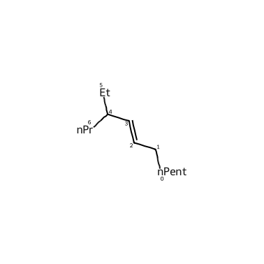 CCCCCC/C=C/C(CC)CCC